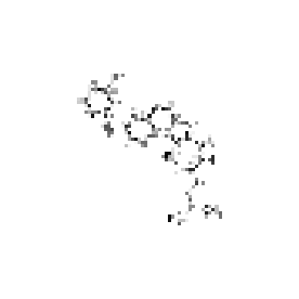 CN(C)CC[C@@H]1CNc2c(sc3ccc4nc(Nc5cc(F)ncn5)ccc4c23)C(=O)N1